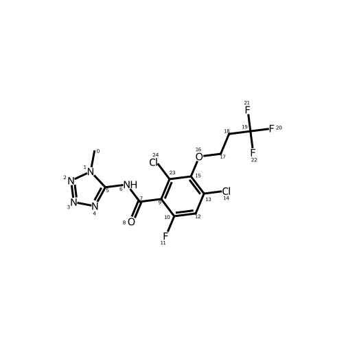 Cn1nnnc1NC(=O)c1c(F)cc(Cl)c(OCCC(F)(F)F)c1Cl